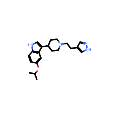 CC(C)Oc1ccc2[nH]cc(C3CCN(CCc4cn[nH]c4)CC3)c2c1